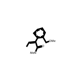 C/C=C(\C(=O)NC)c1ccccc1COC